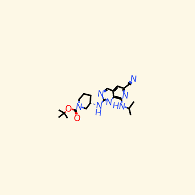 CC(C)Nc1nc(C#N)cc2cnc(N[C@H]3CCCN(C(=O)OC(C)(C)C)C3)nc12